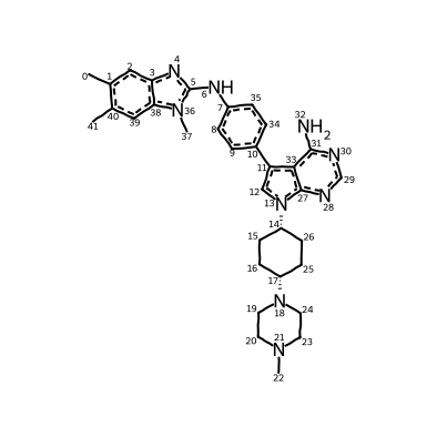 Cc1cc2nc(Nc3ccc(-c4cn([C@H]5CC[C@@H](N6CCN(C)CC6)CC5)c5ncnc(N)c45)cc3)n(C)c2cc1C